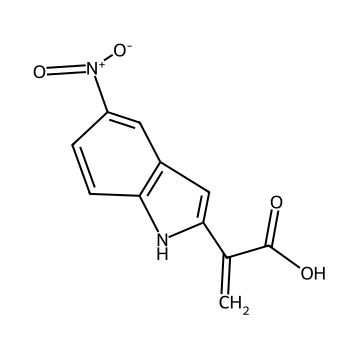 C=C(C(=O)O)c1cc2cc([N+](=O)[O-])ccc2[nH]1